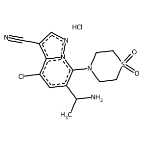 CC(N)c1cc(Cl)c2c(C#N)cnn2c1N1CCS(=O)(=O)CC1.Cl